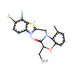 Cc1cccc2c1N(Cc1nc3ccc(Cl)c(Cl)c3s1)C(=O)C(CC(=O)O)O2